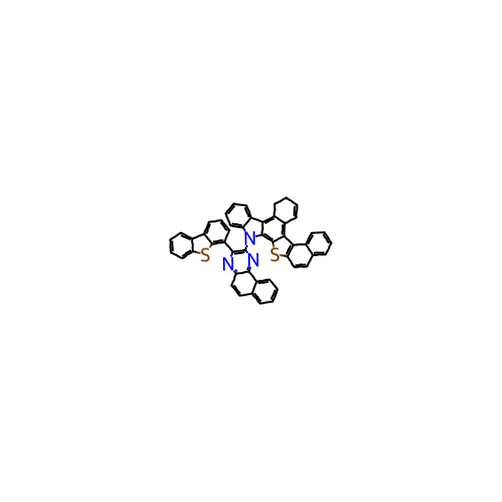 C1=Cc2c(c3c4ccccc4n(-c4nc5c(ccc6ccccc65)nc4-c4cccc5c4sc4ccccc45)c3c3sc4ccc5ccccc5c4c23)CC1